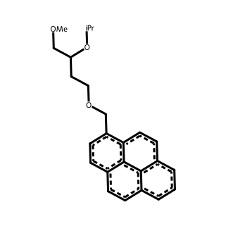 COCC(CCOCc1ccc2ccc3cccc4ccc1c2c34)OC(C)C